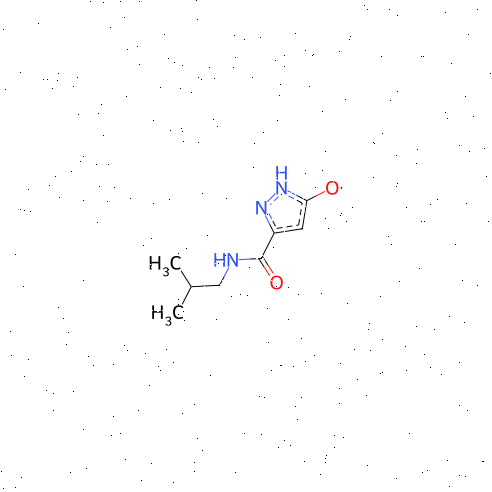 CC(C)CNC(=O)c1cc([O])[nH]n1